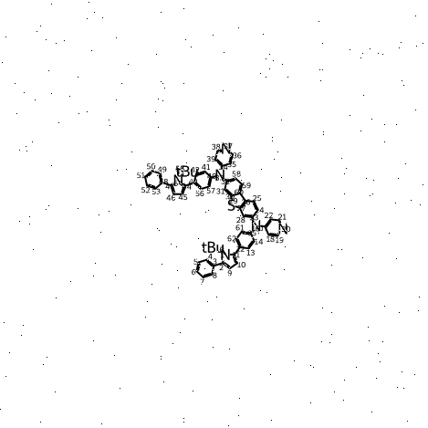 CC(C)(C)n1c(-c2ccccc2)ccc1-c1ccc(N(c2ccncc2)c2ccc3c(c2)sc2cc(N(c4ccncc4)c4ccc(-c5ccc(-c6ccccc6)n5C(C)(C)C)cc4)ccc23)cc1